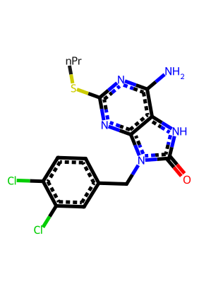 CCCSc1nc(N)c2[nH]c(=O)n(Cc3ccc(Cl)c(Cl)c3)c2n1